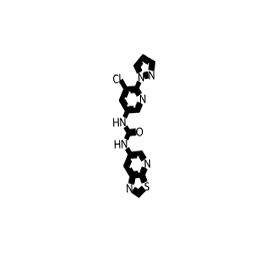 O=C(Nc1cnc(-n2cccn2)c(Cl)c1)Nc1cnc2scnc2c1